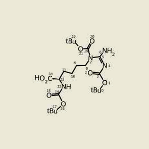 CC(C)(C)OC(=O)N=C(N)N(CCCC[C@@H](NC(=O)OC(C)(C)C)C(=O)O)C(=O)OC(C)(C)C